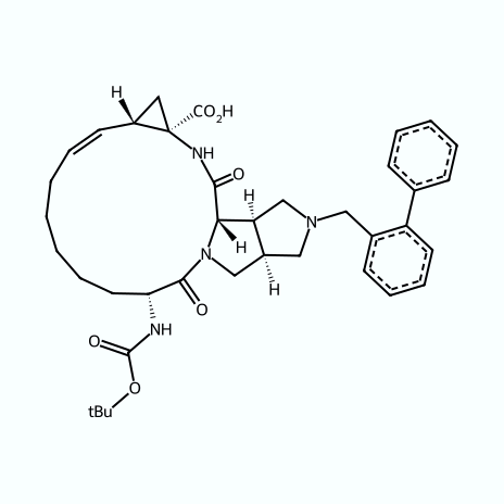 CC(C)(C)OC(=O)N[C@@H]1CCCCC/C=C\[C@@H]2C[C@@]2(C(=O)O)NC(=O)[C@@H]2[C@H]3CN(Cc4ccccc4-c4ccccc4)C[C@H]3CN2C1=O